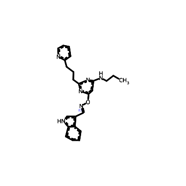 CCCNc1cc(O/N=C/c2c[nH]c3ccccc23)nc(CCCc2ccccn2)n1